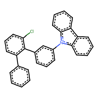 Clc1cccc(-c2ccccc2)c1-c1cccc(-n2c3ccccc3c3ccccc32)c1